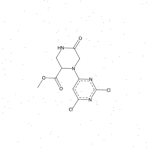 COC(=O)C1CNC(=O)CN1c1cc(Cl)nc(Cl)n1